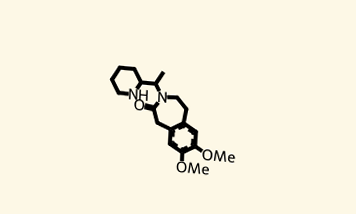 COc1cc2c(cc1OC)CC(=O)N(C(C)C1CCCCN1)CC2